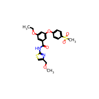 CCOc1cc(Oc2ccc(S(C)(=O)=O)cc2)cc(C(=O)Nc2nc(COC)cs2)c1